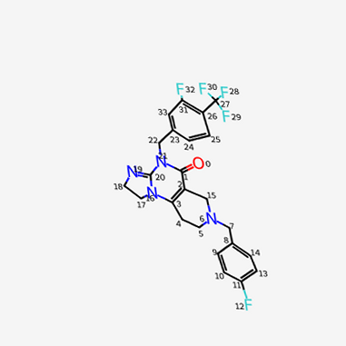 O=C1C2=C(CCN(Cc3ccc(F)cc3)C2)N2CCN=C2N1Cc1ccc(C(F)(F)F)c(F)c1